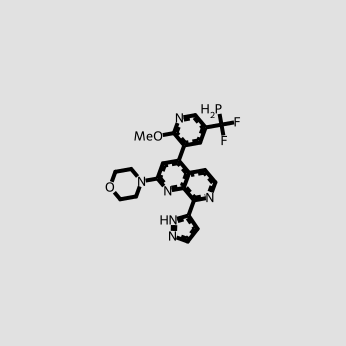 COc1ncc(C(F)(F)P)cc1-c1cc(N2CCOCC2)nc2c(-c3ccn[nH]3)nccc12